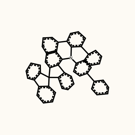 c1ccc(-c2ccc(N(c3cccc4c3-c3ccccc3C43c4ccccc4-c4ccccc43)c3c(-c4ccccc4)cccc3-c3ccccc3)cc2)cc1